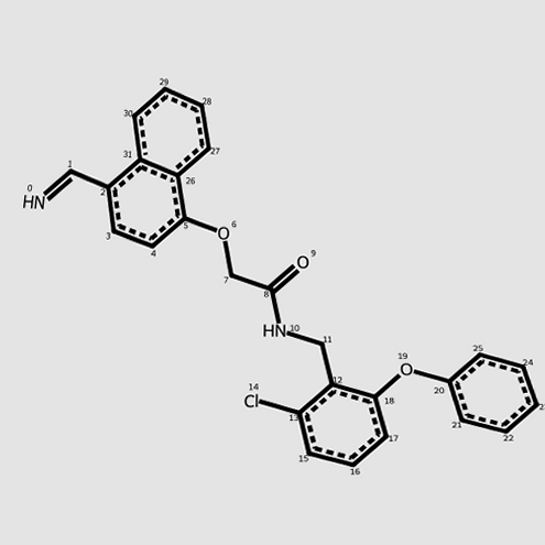 N=Cc1ccc(OCC(=O)NCc2c(Cl)cccc2Oc2ccccc2)c2ccccc12